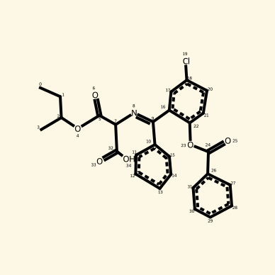 CCC(C)OC(=O)C(N=C(c1ccccc1)c1cc(Cl)ccc1OC(=O)c1ccccc1)C(=O)O